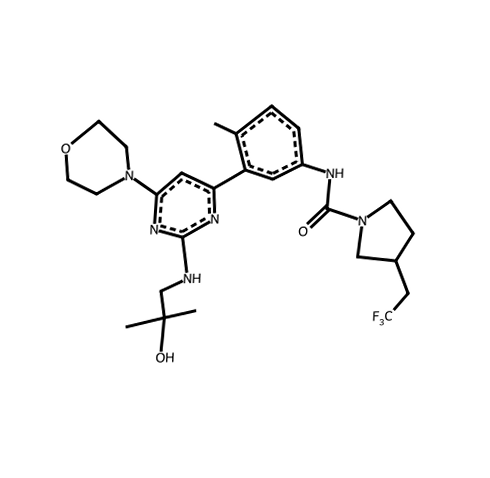 Cc1ccc(NC(=O)N2CCC(CC(F)(F)F)C2)cc1-c1cc(N2CCOCC2)nc(NCC(C)(C)O)n1